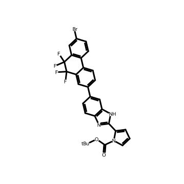 CC(C)(C)OC(=O)n1cccc1-c1nc2ccc(-c3ccc4c(c3)C(F)(F)C(F)(F)c3cc(Br)ccc3-4)cc2[nH]1